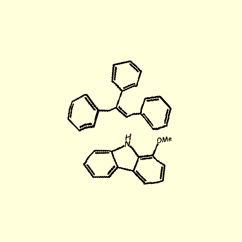 C(=C(c1ccccc1)c1ccccc1)c1ccccc1.COc1cccc2c1[nH]c1ccccc12